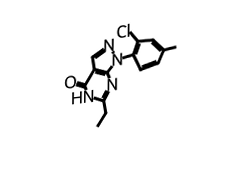 CCc1nc2c(cnn2-c2ccc(C)cc2Cl)c(=O)[nH]1